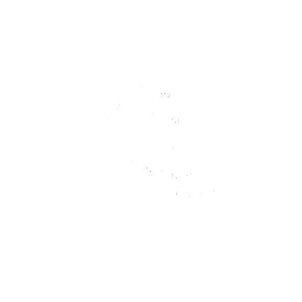 CC(C)Oc1ccc(N)c(C(=N)c2ccnc(N3CC(S(C)(=O)=O)C3)c2)c1